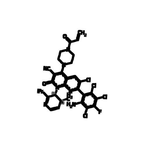 C=CC(=O)N1CCN(c2c(C#N)c(=O)n([C@H]3C(C(C)C)=NC=C[C@H]3C)c3nc(-c4c(N)c(Cl)c(F)c(Cl)c4Cl)c(Cl)cc23)CC1